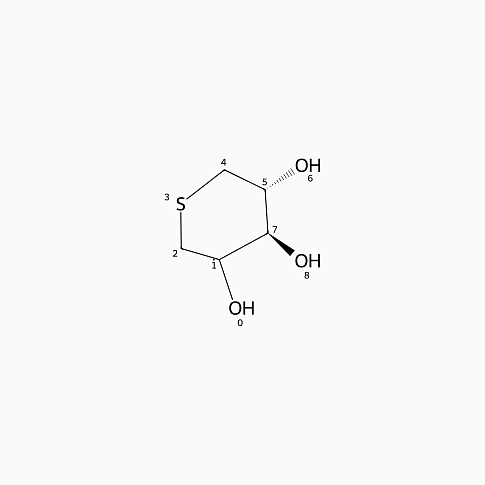 O[C]1CSC[C@H](O)[C@H]1O